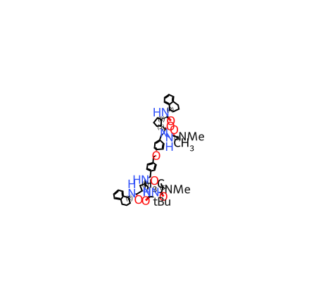 CN[C@@H](C)C(=O)NC(C(=O)N1C[C@@H](NC(=O)c2ccc(COc3ccc(CN(NC(=O)[C@H](C)NC)C(=O)[C@H]4CCC[C@H]4C(=O)N[C@@H]4CCCc5ccccc54)cc3)cc2)CC1C(=O)N[C@@H]1CCCc2ccccc21)C(C)(C)C